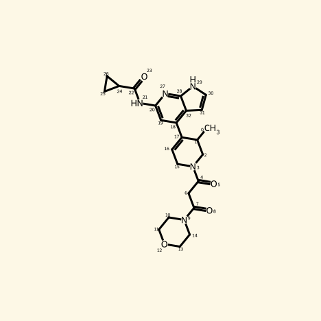 CC1CN(C(=O)CC(=O)N2CCOCC2)CC=C1c1cc(NC(=O)C2CC2)nc2[nH]ccc12